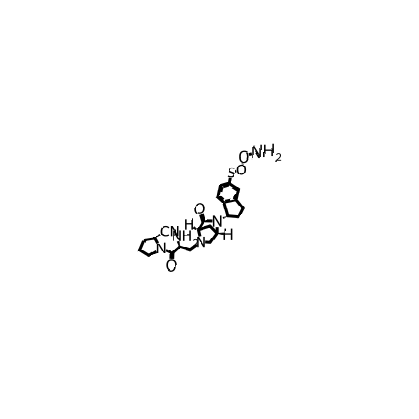 N#C[C@@H]1CCCN1C(=O)[C@@H](N)CN1C[C@@H]2C[C@H]1C(=O)N2[C@H]1CCc2cc(SOON)ccc21